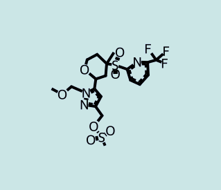 COCn1nc(COS(C)(=O)=O)cc1C1CC(C)(S(=O)(=O)c2cccc(C(F)(F)F)n2)CCO1